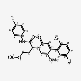 COc1cn(C(CCOC(C)(C)C)C(=O)Nc2ccc(F)cc2)c(=O)cc1-c1cc(Cl)ccc1C(C)=O